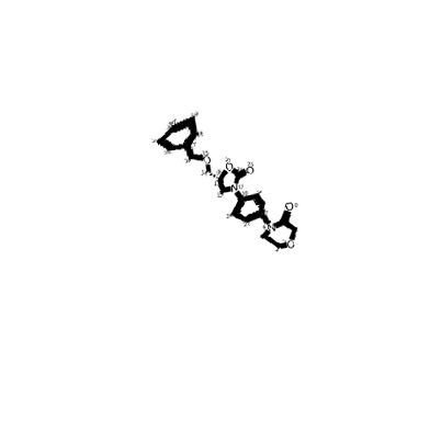 O=C1COCCN1c1ccc(N2C[C@H](COCc3ccccc3)OC2=O)cc1